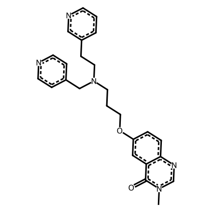 Cn1cnc2ccc(OCCCN(CCc3cccnc3)Cc3ccncc3)cc2c1=O